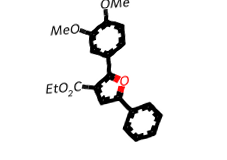 CCOC(=O)c1cc(-c2ccccc2)oc1-c1ccc(OC)c(OC)c1